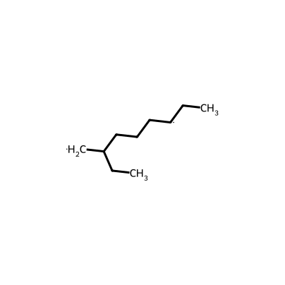 [CH2]C(CC)CCC[CH]CC